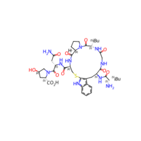 CC[C@H](C)[C@H](N)C(=O)N[C@H]1Cc2c([nH]c3ccccc23)SC[C@@H](C(=O)N[C@@H](CC(N)=O)C(=O)N2C[C@H](O)C[C@H]2C(=O)O)NC(=O)[C@H]2CCCN2C(=O)[C@H]([C@@H](C)CC)NC(=O)CNC1=O